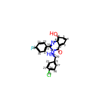 O=c1c2cccc(O)c2nc(-c2ccc(F)cc2)n1NCc1ccc(Cl)cc1